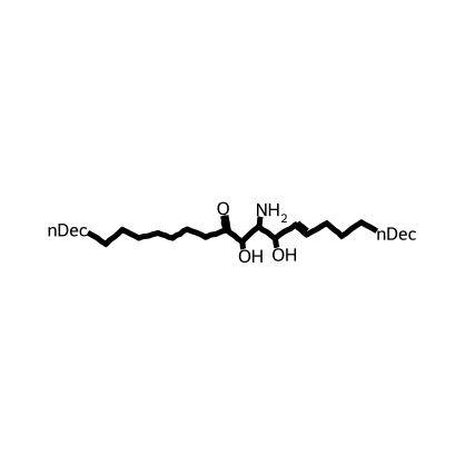 CCCCCCCCCCCCC/C=C/C(O)C(N)C(O)C(=O)CCCCCCCCCCCCCCCCC